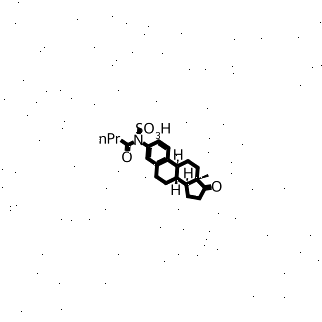 CCCC(=O)N(c1ccc2c(c1)CC[C@@H]1[C@@H]2CC[C@]2(C)C(=O)CC[C@@H]12)S(=O)(=O)O